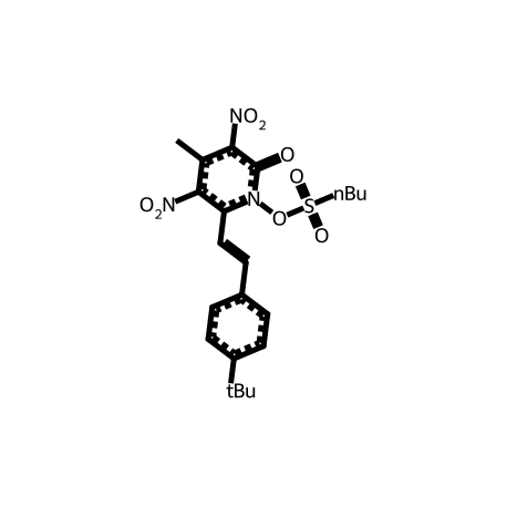 CCCCS(=O)(=O)On1c(/C=C/c2ccc(C(C)(C)C)cc2)c([N+](=O)[O-])c(C)c([N+](=O)[O-])c1=O